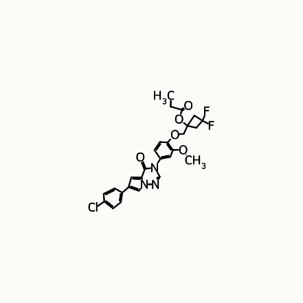 CCC(=O)OC1(COc2ccc(-n3cnn4cc(-c5ccc(Cl)cc5)cc4c3=O)cc2OC)CC(F)(F)C1